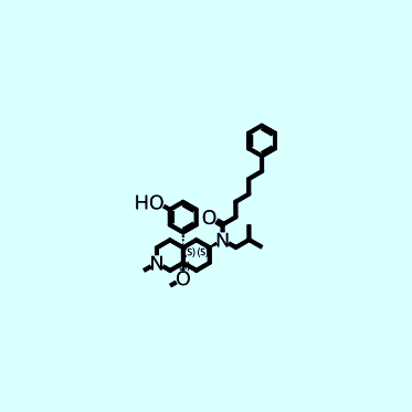 CO[C@]12CC[C@H](N(CC(C)C)C(=O)CCCCCc3ccccc3)C[C@]1(c1cccc(O)c1)CCN(C)C2